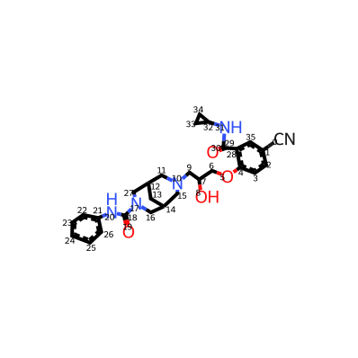 N#Cc1ccc(OCC(O)CN2CC3CC(C2)CN(C(=O)Nc2ccccc2)C3)c(C(=O)NC2CC2)c1